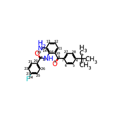 CC(C)(C)c1ccc(C(=O)c2cccc(N)c2NC(=O)c2ccc(F)cc2)cc1